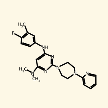 Cc1cc(Nc2cc(N(C)C)nc(N3CCN(c4ccccn4)CC3)n2)ccc1F